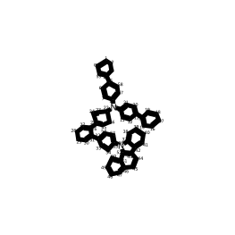 C1=CCCC(c2ccc(N(c3ccc(-c4ccccc4)cc3)C3C=CC(C4=CCCC=C4c4ccc(-n5c6ccccc6c6ccc7ccccc7c65)cc4)=CC3)cc2)=C1